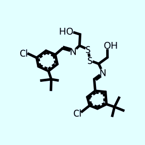 CC(C)(C)c1cc(Cl)cc(C=NC(CO)SSC(CO)N=Cc2cc(Cl)cc(C(C)(C)C)c2)c1